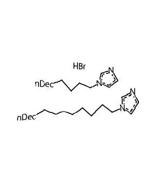 Br.CCCCCCCCCCCCCCCCCCn1ccnc1.CCCCCCCCCCCCCCn1ccnc1